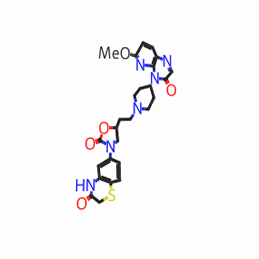 COc1ccc2ncc(=O)n(C3CCN(CCC4CN(c5ccc6c(c5)NC(=O)CS6)C(=O)O4)CC3)c2n1